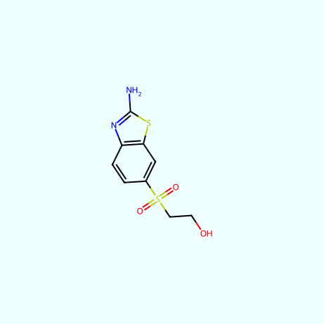 Nc1nc2ccc(S(=O)(=O)CCO)cc2s1